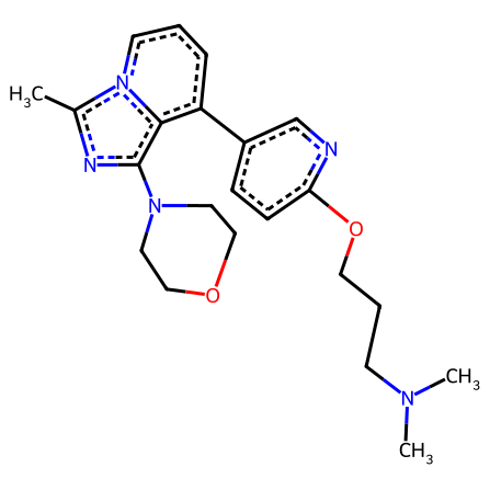 Cc1nc(N2CCOCC2)c2c(-c3ccc(OCCCN(C)C)nc3)cccn12